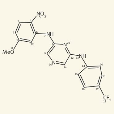 COc1ccc([N+](=O)[O-])c(Nc2cncc(Nc3ccc(C(F)(F)F)cc3)n2)c1